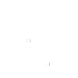 CCOC(=O)c1ccc(NCCC2CCCC2)cc1